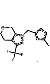 Cc1ccc(Cn2nc(C(F)(F)F)c3c2CNCC3)s1